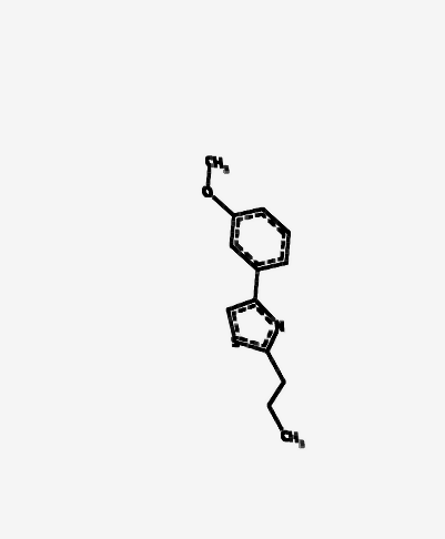 CCCc1nc(-c2cccc(OC)c2)cs1